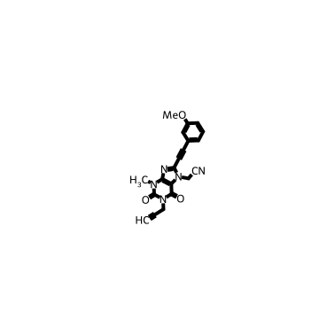 C#CCn1c(=O)c2c(nc(C#Cc3cccc(OC)c3)n2CC#N)n(C)c1=O